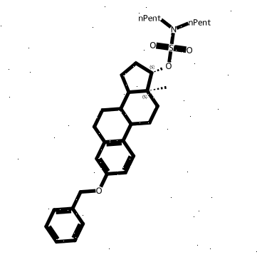 CCCCCN(CCCCC)S(=O)(=O)O[C@H]1CCC2C3CCc4cc(OCc5ccccc5)ccc4C3CC[C@@]21C